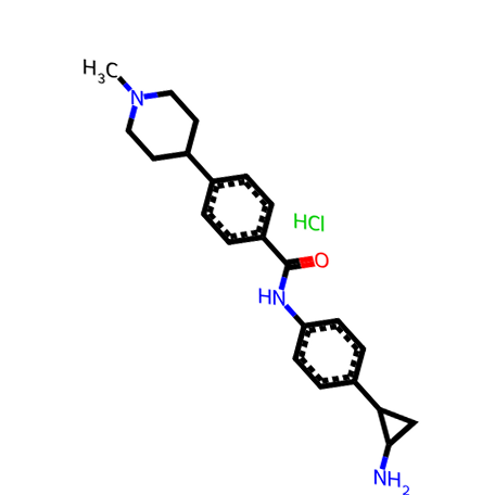 CN1CCC(c2ccc(C(=O)Nc3ccc(C4CC4N)cc3)cc2)CC1.Cl